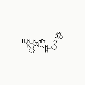 CCCc1nc2c(N)nc3ccccc3c2n1CCCNCc1cccc(OCC(=O)OC(C)C)c1